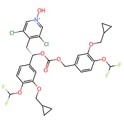 O=C(OCc1ccc(OC(F)F)c(OCC2CC2)c1)O[C@@H](Cc1c(Cl)c[n+](O)cc1Cl)c1ccc(OC(F)F)c(OCC2CC2)c1